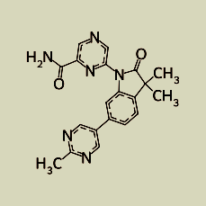 Cc1ncc(-c2ccc3c(c2)N(c2cncc(C(N)=O)n2)C(=O)C3(C)C)cn1